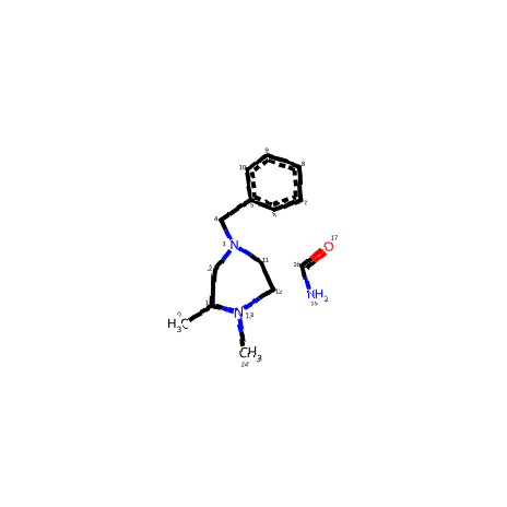 CC1CN(Cc2ccccc2)CCN1C.NC=O